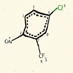 O=Nc1ccc(Cl)cc1C(F)(F)F